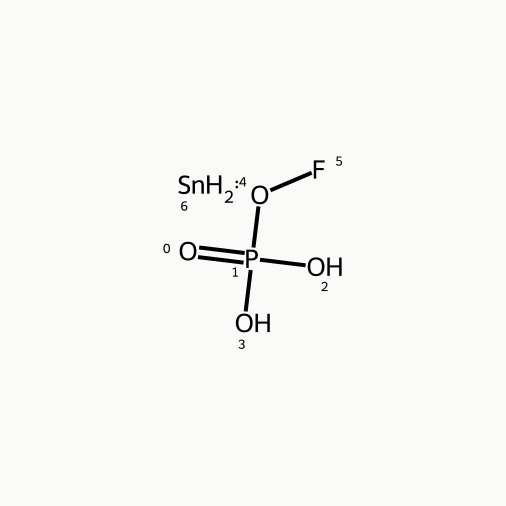 O=P(O)(O)OF.[SnH2]